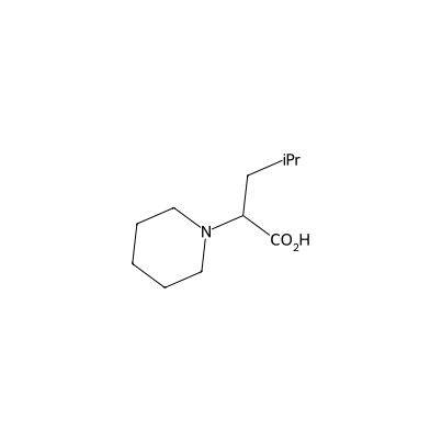 CC(C)CC(C(=O)O)N1CCCCC1